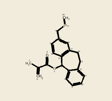 C=C(C)C(=O)OC1c2ccccc2CCc2cc(COC)ccc21